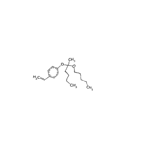 C=Cc1ccc(OC(C)(CCCC)OCCCCC)cc1